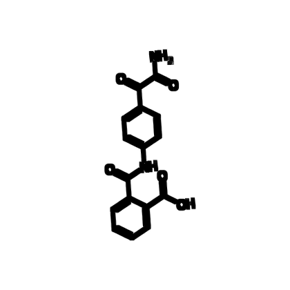 NC(=O)C(=O)c1ccc(NC(=O)c2ccccc2C(=O)O)cc1